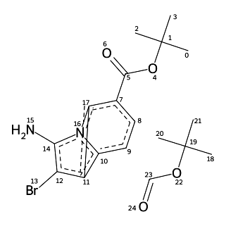 CC(C)(C)OC(=O)c1ccc2c3c(Br)c(N)n2c13.CC(C)(C)OC=O